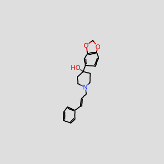 OC1(c2ccc3c(c2)OCO3)CCN(CC=Cc2ccccc2)CC1